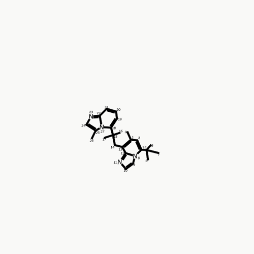 Cc1cc(C(C)(C)C)n2ccnc2c1CC(C)(C)c1cccc2ncc(C)n12